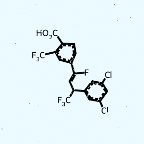 O=C(O)c1ccc(C(F)=CC(c2cc(Cl)cc(Cl)c2)C(F)(F)F)cc1C(F)(F)F